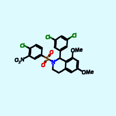 COc1cc2c(c(OC)c1)C(c1cc(Cl)cc(Cl)c1)N(S(=O)(=O)c1ccc(Cl)c([N+](=O)[O-])c1)CC2